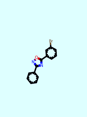 Brc1cccc(-c2nc(-c3ccccc3)no2)c1